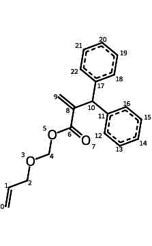 C=CCOCOC(=O)C(=C)C(c1ccccc1)c1ccccc1